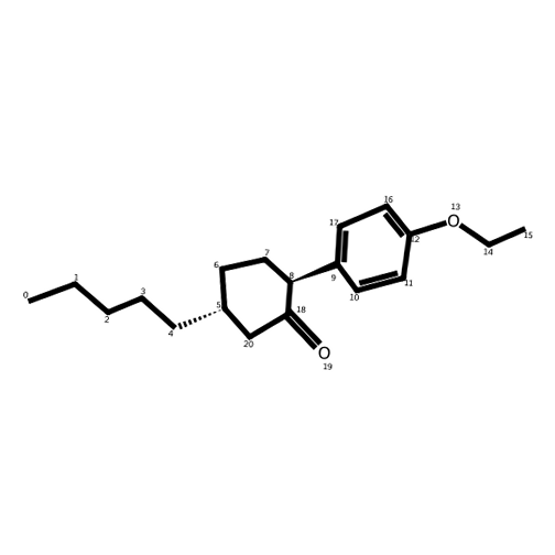 CCCCC[C@@H]1CC[C@@H](c2ccc(OCC)cc2)C(=O)C1